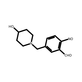 O=Cc1cc(CN2CCC(O)CC2)ccc1N=O